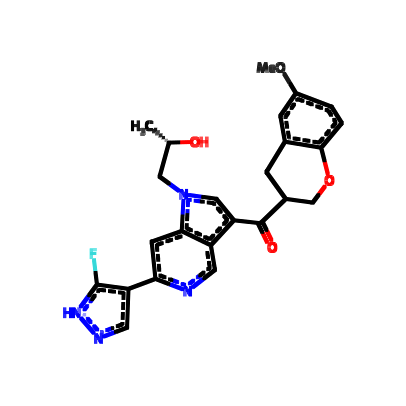 COc1ccc2c(c1)CC(C(=O)c1cn(C[C@H](C)O)c3cc(-c4cn[nH]c4F)ncc13)CO2